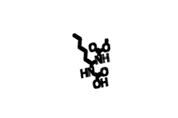 CCCCCC(NC(=O)O)NC(=O)OC